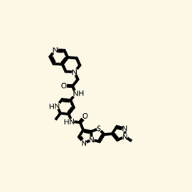 CC1NC=C(NC(=O)CN2CCc3cnccc3C2)C=C1NC(=O)c1cnn2cc(-c3cnn(C)c3)sc12